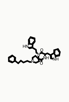 O=C1C(Cc2c[nH]c3ccccc23)NC(=O)C2(CCN(CCCCCc3ccccc3)CC2)N1CCc1c[nH]c2ccccc12